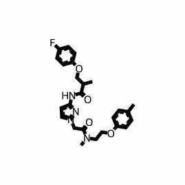 Cc1ccc(OCCN(C)C(=O)Cn2ccc(NC(=O)C(C)COc3ccc(F)cc3)n2)cc1